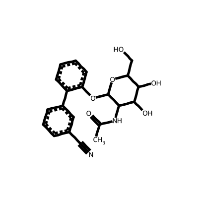 CC(=O)NC1C(Oc2ccccc2-c2cccc(C#N)c2)OC(CO)C(O)C1O